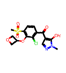 Cn1ncc(C(=O)c2ccc(S(C)(=O)=O)c(OC3COC3)c2Cl)c1O